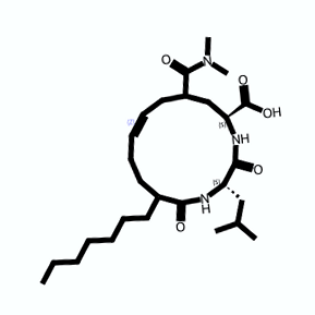 CCCCCCCC1CC/C=C\CC(C(=O)N(C)C)C[C@@H](C(=O)O)NC(=O)[C@H](CC(C)C)NC1=O